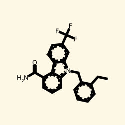 CCc1ccccc1Cn1c2cc(C(F)(F)F)c[c]c2c2c(C(N)=O)cccc21